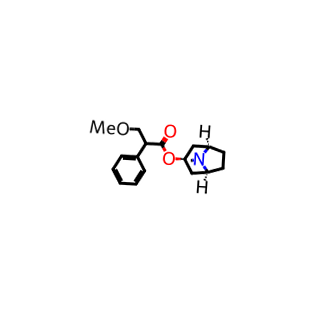 COCC(C(=O)O[C@H]1C[C@H]2CC[C@@H](C1)N2C)c1ccccc1